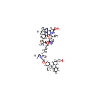 CC/C(=C(/c1ccc(O)cc1)c1ccc(OCCN(C)C(=O)CCCOCCOc2cc(C(C(=O)N3C[C@H](O)C[C@H]3C3=NC(=O)C(C)(c4ccc(-c5scnc5C)cc4)N3)C(C)C)on2)cc1)c1ccccc1